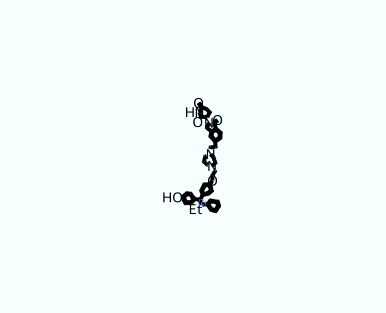 CC/C(=C(\c1ccc(O)cc1)c1ccc(OCCN2CCCN(CCc3ccc4c(c3)CN(C3CCC(=O)NC3=O)C4=O)CC2)cc1)c1ccccc1